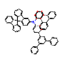 c1ccc(-c2cc(-c3ccccc3)cc(-c3ccc(N(c4ccc5c(c4)-c4ccccc4C54c5ccccc5-c5ccccc54)c4ccccc4-c4ccccc4-c4ccccc4-c4ccccc4)cc3)c2)cc1